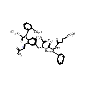 CCCCCN(C(=O)[C@H](Cc1ccccc1)NC(=O)CCC(=O)O)[C@@H](Cc1ccc(N(C(=O)C(=O)O)c2ccccc2C(=O)O)c(/C=C/C(N)=O)c1)C(N)=O